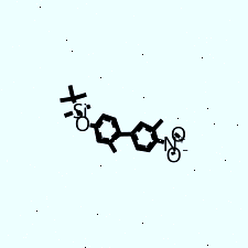 Cc1cc(O[Si](C)(C)C(C)(C)C)ccc1-c1ccc([N+](=O)[O-])c(C)c1